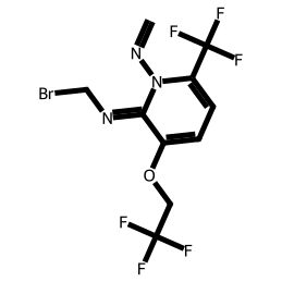 C=Nn1c(C(F)(F)F)ccc(OCC(F)(F)F)/c1=N/CBr